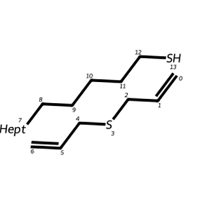 C=CCSCC=C.CCCCCCCCCCCCS